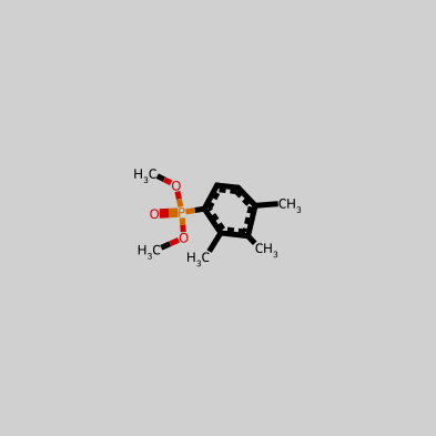 COP(=O)(OC)c1ccc(C)c(C)c1C